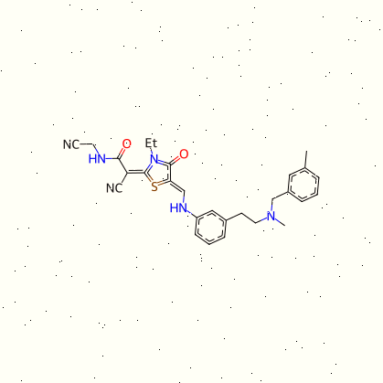 CCn1c(=C(C#N)C(=O)NCC#N)sc(=CNc2cccc(CCN(C)Cc3cccc(C)c3)c2)c1=O